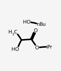 CC(C)OC(=O)C(C)O.CCCCO